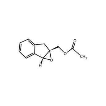 CC(=O)OC[C@]12Cc3ccccc3[C@H]1O2